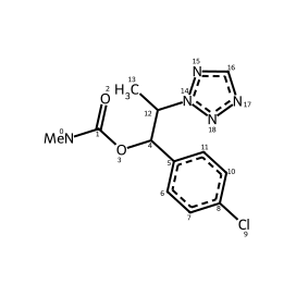 CNC(=O)OC(c1ccc(Cl)cc1)C(C)n1ncnn1